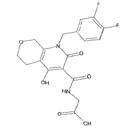 O=C(O)CNC(=O)c1c(O)c2c(n(Cc3ccc(F)c(F)c3)c1=O)COCC2